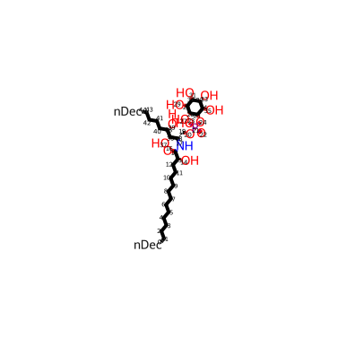 CCCCCCCCCCCCCCCCCCCCCC[C@H](O)C(=O)N[C@@H](COP(=O)(O)OC1C(O)C(O)C(O)[C@@H](O)C1O)[C@H](O)[C@H](O)CCCCCCCCCCCCCC